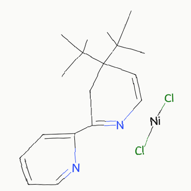 CC(C)(C)C1(C(C)(C)C)C=CN=C(c2ccccn2)C1.[Cl][Ni][Cl]